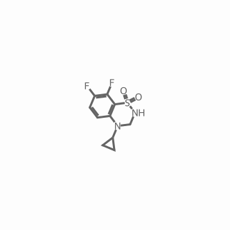 O=S1(=O)NCN(C2CC2)c2ccc(F)c(F)c21